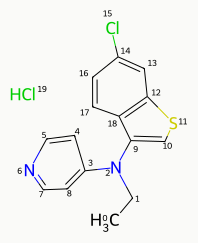 CCN(c1ccncc1)c1csc2cc(Cl)ccc12.Cl